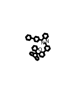 C1=CC2C(Oc3ccccc3C23c2ccccc2-c2ccccc23)C(c2cccc(-c3nc(-c4ccc(-c5ccccc5)cc4)c4ccccc4n3)c2)=C1